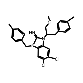 COCC(Cc1ccc(C)cc1)n1c(=N)n(Cc2ccc(C)cc2)c2cc(Cl)c(Cl)cc21